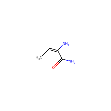 C/C=C(/N)C(N)=O